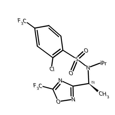 CC(C)N([C@@H](C)c1noc(C(F)(F)F)n1)S(=O)(=O)c1ccc(C(F)(F)F)cc1Cl